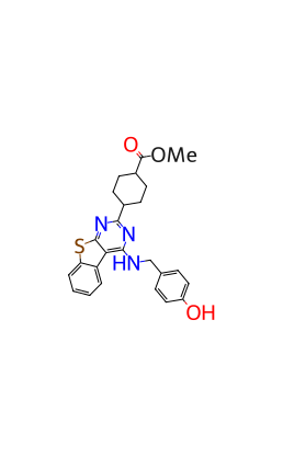 COC(=O)C1CCC(c2nc(NCc3ccc(O)cc3)c3c(n2)sc2ccccc23)CC1